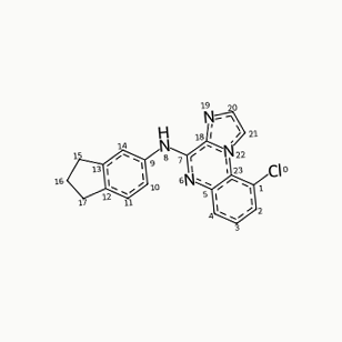 Clc1cccc2nc(Nc3ccc4c(c3)CCC4)c3nccn3c12